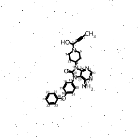 CC#CC(O)N1CCC(n2c(=O)n(-c3ccc(Oc4ccccc4)cc3)c3c(N)ncnc32)CC1